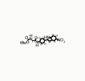 CC(C)(C)OC(=O)NCC(=O)Nc1ccc(-c2cc3cc([N+](=O)[O-])ccc3[nH]2)cc1